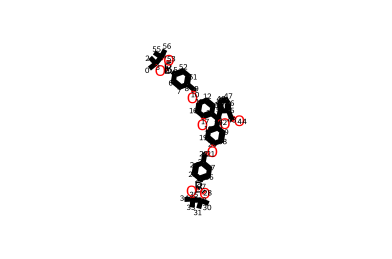 CC1(C)OB(c2ccc(COc3ccc4c(c3)Oc3cc(OCc5ccc(B6OC(C)(C)C(C)(C)O6)cc5)ccc3C43OC(=O)c4ccccc43)cc2)OC1(C)C